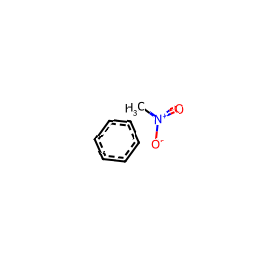 C[N+](=O)[O-].c1ccccc1